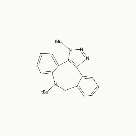 CC(C)(C)N1Cc2ccccc2-c2nnn(C(C)(C)C)c2-c2ccccc21